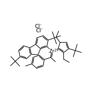 CCC1=[C](/[Zr+2](=[C](\C)c2ccc(C)cc2)[c]2c(C(C)(C)C)ccc3c2Cc2cc(C(C)(C)C)ccc2-3)C(CC)C=C1C(C)(C)C.[Cl-].[Cl-]